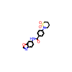 O=C(Nc1ccc2ncoc2c1)c1ccc(N2CCCCS2(=O)=O)cc1